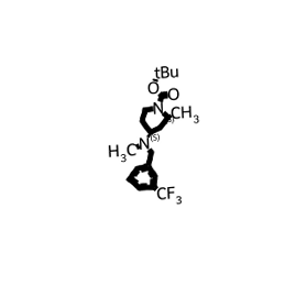 C[C@H]1C[C@@H](N(C)Cc2cccc(C(F)(F)F)c2)CCN1C(=O)OC(C)(C)C